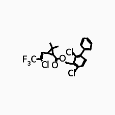 CC1(C)C(C=C(Cl)C(F)(F)F)C1C(=O)OCc1c(Cl)ccc(-c2ccccc2)c1Cl